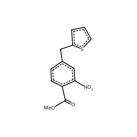 COC(=O)c1ccc(Cc2cccs2)cc1[N+](=O)[O-]